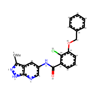 COc1n[nH]c2ncc(NC(=O)c3cccc(OCc4ccccc4)c3Cl)cc12